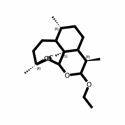 CCOC1OC2O[C@]3(C)CCC4[C@H](C)CCC([C@H]1C)[C@@]24CO3